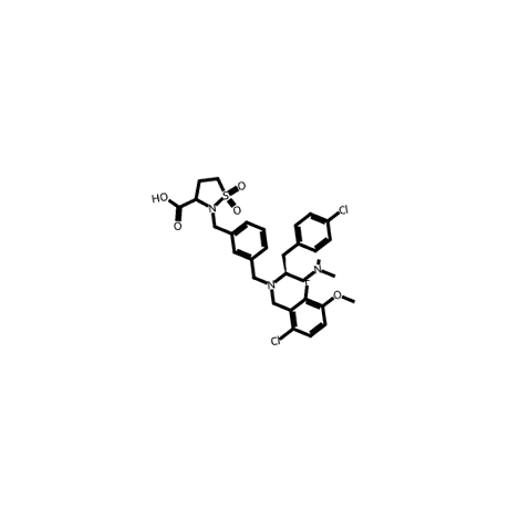 COc1ccc(Cl)c(CN(Cc2cccc(CN3C(C(=O)O)CCS3(=O)=O)c2)[C@@H](Cc2ccc(Cl)cc2)CN(C)C)c1F